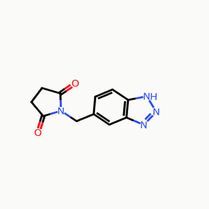 O=C1CCC(=O)N1Cc1ccc2[nH]nnc2c1